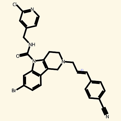 N#Cc1ccc(/C=C/CN2CCc3c(c4ccc(Br)cc4n3C(=O)NCc3ccnc(Cl)c3)C2)cc1